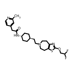 Cc1cc(CC(=O)N[C@H]2CC[C@H](CCN3CCc4nc(OCC(F)F)sc4CC3)CC2)ccn1